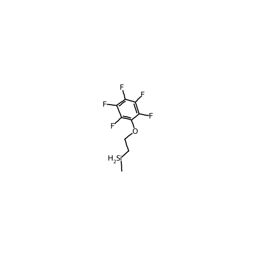 C[SiH2]CCOc1c(F)c(F)c(F)c(F)c1F